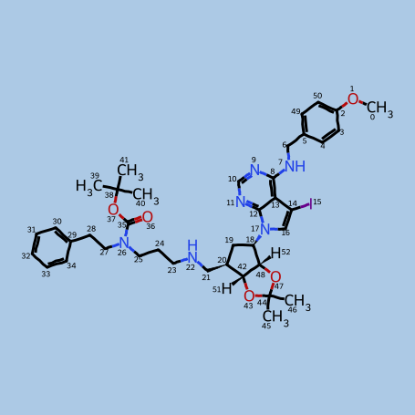 COc1ccc(CNc2ncnc3c2c(I)cn3[C@@H]2C[C@H](CNCCCN(CCc3ccccc3)C(=O)OC(C)(C)C)[C@H]3OC(C)(C)O[C@H]32)cc1